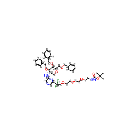 CC(C)(C)OC(=O)NCCOCCOCCOCC(F)(F)c1cncc(N[C@H]2CO[C@H](COCc3ccccc3)[C@H](OCc3ccccc3)[C@@H]2OCc2ccccc2)n1